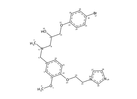 COc1cc(CN(C)CC(O)COc2ccc(Br)cc2)ccc1OCCn1ccnc1